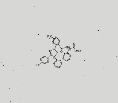 COC(=O)[C@@H](NC(=O)c1cnc(C(F)(F)F)nc1N1C[C@@H](c2ccccc2)C(c2ccc(Cl)cc2)=N1)c1ccccc1